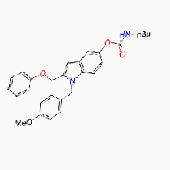 CCCCNC(=O)Oc1ccc2c(c1)cc(COc1ccccc1)n2Cc1ccc(OC)cc1